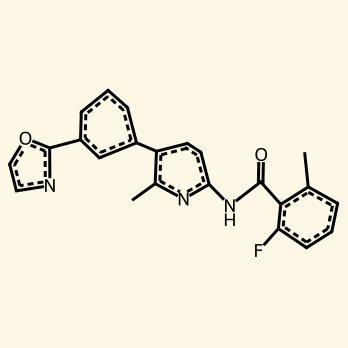 Cc1cccc(F)c1C(=O)Nc1ccc(-c2cccc(-c3ncco3)c2)c(C)n1